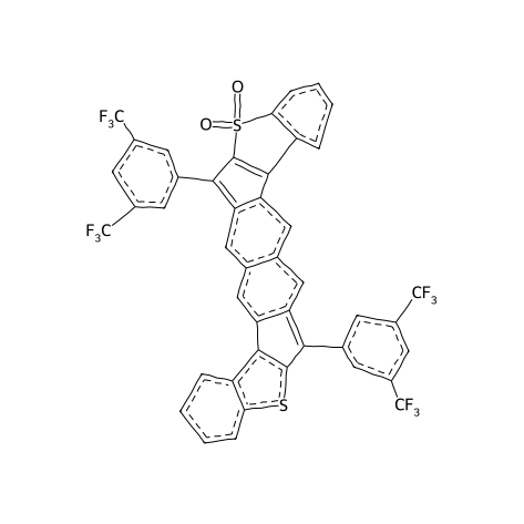 O=S1(=O)C2=C(c3ccccc31)c1cc3cc4c(cc3cc1=C2c1cc(C(F)(F)F)cc(C(F)(F)F)c1)-c1c(sc2ccccc12)C=4c1cc(C(F)(F)F)cc(C(F)(F)F)c1